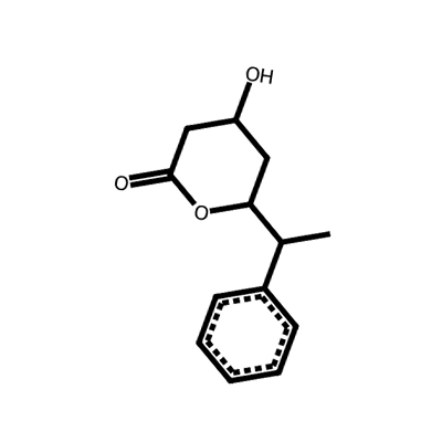 CC(c1ccccc1)C1CC(O)CC(=O)O1